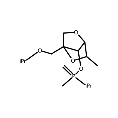 C=P(C)(OC1C2OCC1(COC(C)C)OC2C)C(C)C